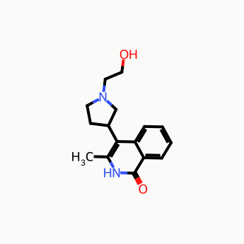 Cc1[nH]c(=O)c2ccccc2c1C1CCN(CCO)C1